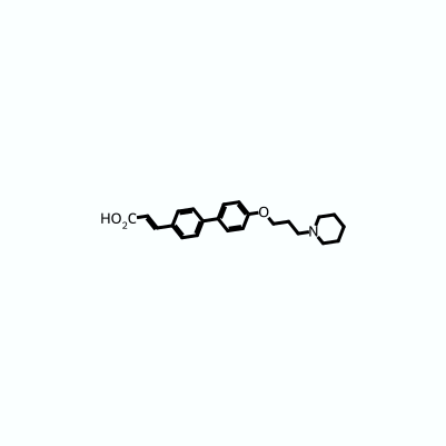 O=C(O)/C=C/c1ccc(-c2ccc(OCCCN3CCCCC3)cc2)cc1